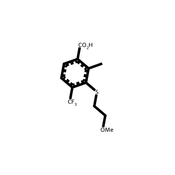 COCCSc1c(C(F)(F)F)ccc(C(=O)O)c1C